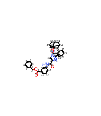 O=C(OCc1ccccc1)c1cccc(NC(=O)c2c[nH]c(C3C4C=CC3C(COC35CC6CC(CC(C6)C3)C5)=C4)n2)c1